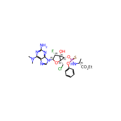 CCOC(=O)[C@@H](C)NP(=S)(Oc1ccccc1)O[C@H]1[C@]2(O)[C@@H](F)[C@H](n3cnc4c(N(C)C)nc(N)nc43)O[C@]12CCl